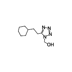 OCn1nnnc1CCC1CCCCC1